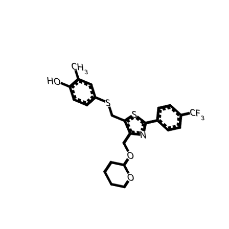 Cc1cc(SCc2sc(-c3ccc(C(F)(F)F)cc3)nc2COC2CCCCO2)ccc1O